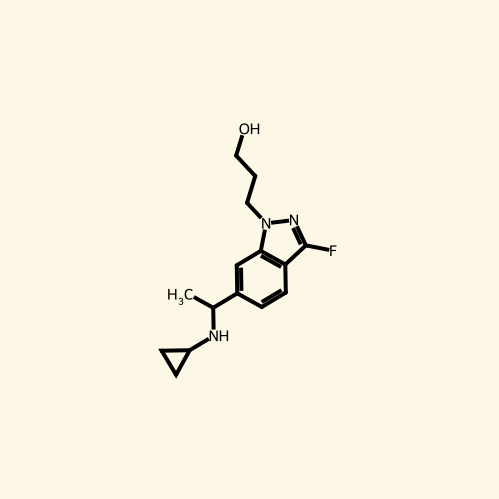 CC(NC1CC1)c1ccc2c(F)nn(CCCO)c2c1